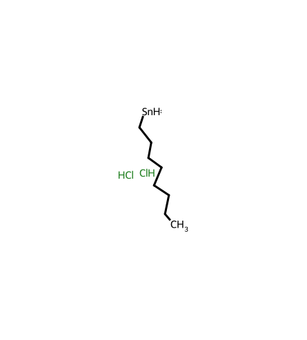 CCCCCCC[CH2][SnH].Cl.Cl